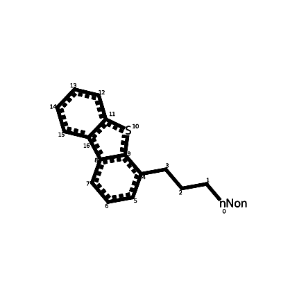 CCCCCCCCCCCCc1cccc2c1sc1ccccc12